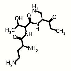 CCC(=O)[C@H](CN)NC(=O)[C@@H](NC(=O)[C@@H](N)CCN)C(C)O